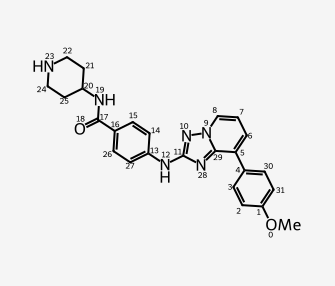 COc1ccc(-c2cccn3nc(Nc4ccc(C(=O)NC5CCNCC5)cc4)nc23)cc1